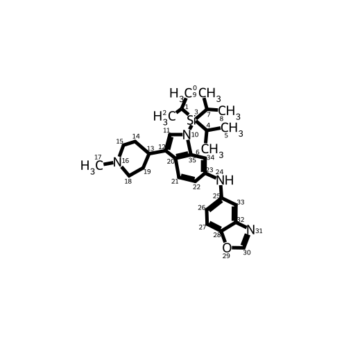 CC(C)[Si](C(C)C)(C(C)C)n1cc(C2CCN(C)CC2)c2ccc(Nc3ccc4ocnc4c3)cc21